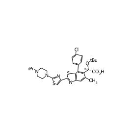 Cc1cc2nc(-c3csc(N4CCN(C(C)C)CC4)n3)sc2c(-c2ccc(Cl)cc2)c1[C@H](OC(C)(C)C)C(=O)O